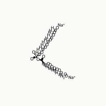 O.O.O.O.O.O.O.O.O.O.O.O.O.O.O.O.O.O.O.O.O=C([O-])OS(=O)(=O)[O-].[Na+].[Na+]